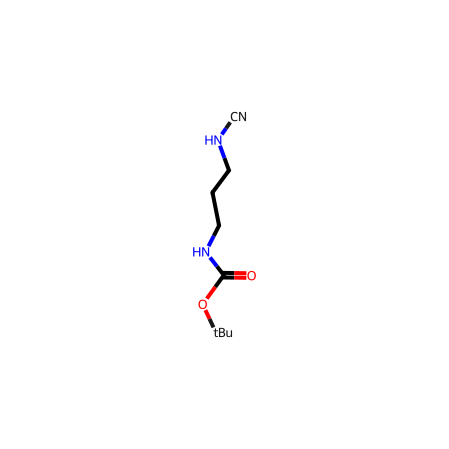 CC(C)(C)OC(=O)NCCCNC#N